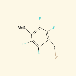 CSc1c(F)c(F)c(CBr)c(F)c1F